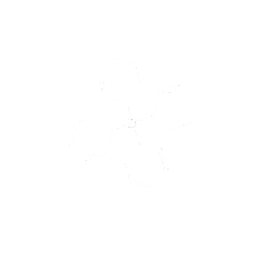 Cc1cccc[c]1[Zr]([c]1ccccc1C)([c]1ccccc1C)[c]1ccccc1C